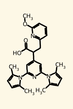 COc1cccc(CC(C(=O)O)c2cc(-n3c(C)ccc3C)nc(-n3c(C)ccc3C)c2)n1